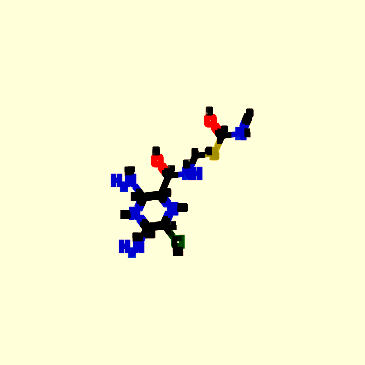 C=NC(=O)SCNC(=O)c1nc(Cl)c(N)nc1N